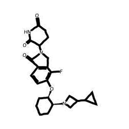 O=C1CCC(N2Cc3c(ccc(O[C@@H]4CCCC[C@@H]4N4CC(C5CC5)C4)c3F)C2=O)C(=O)N1